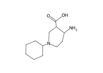 NC1CCN(C2CCCCC2)CC1C(=O)O